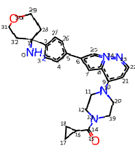 NC1(c2ccc(-c3cc4c(N5CCN(C(=O)C6CC6)CC5)ccnn4c3)cc2)CCOCC1